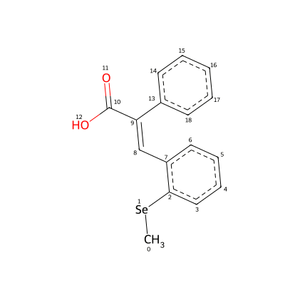 C[Se]c1ccccc1/C=C(/C(=O)O)c1ccccc1